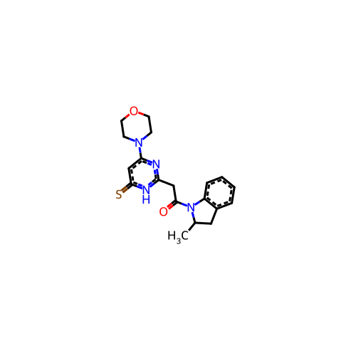 CC1Cc2ccccc2N1C(=O)Cc1nc(N2CCOCC2)cc(=S)[nH]1